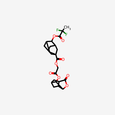 CC(F)(F)C(=O)OC1C2CC3CC1CC(C(=O)OCC(=O)OC1C4CC5C(=O)OC1C5C4)(C3)C2